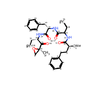 CO[C@@H](CCc1ccccc1)C(=O)NC(CC(C)C)C(=O)N[C@@H](Cc1ccccc1)C(=O)N[C@@H](CC(C)C)C(=O)[C@@]1(C)CO1